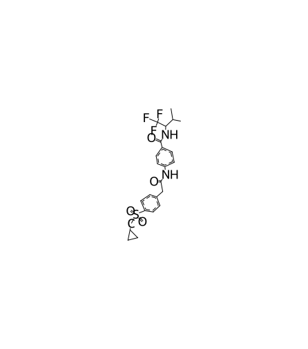 CC(C)C(NC(=O)c1ccc(NC(=O)Cc2ccc(S(=O)(=O)CC3CC3)cc2)cc1)C(F)(F)F